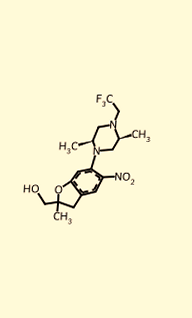 C[C@H]1CN(c2cc3c(cc2[N+](=O)[O-])CC(C)(CO)O3)[C@@H](C)CN1CC(F)(F)F